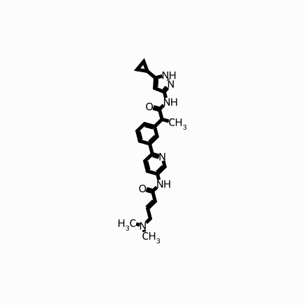 CC(C(=O)Nc1cc(C2CC2)[nH]n1)c1cccc(-c2ccc(NC(=O)C=CCN(C)C)cn2)c1